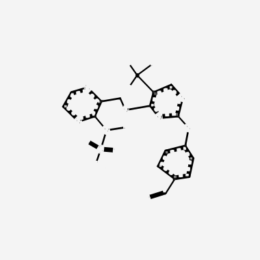 CN(c1nccnc1CNc1nc(Nc2ccc(C=O)cc2)ncc1C(F)(F)F)S(C)(=O)=O